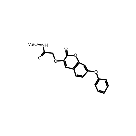 CONC(=O)COc1cc2ccc(Oc3ccccc3)cc2oc1=O